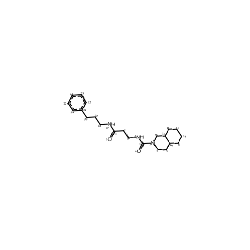 O=C(CCNC(=O)N1CCC2CCCCC2C1)NCCCc1ccccc1